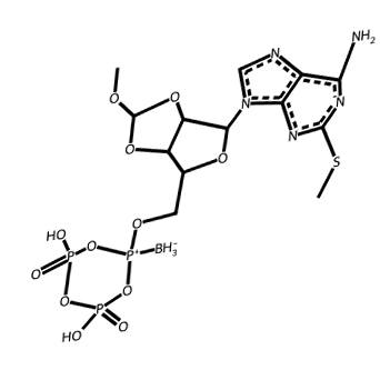 [BH3-][P+]1(OCC2OC(n3cnc4c(N)nc(SC)nc43)C3OC(OC)OC23)OP(=O)(O)OP(=O)(O)O1